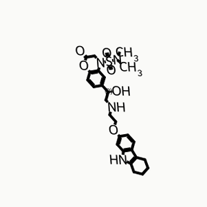 CN(C)S(=O)(=O)N1CC(=O)Oc2ccc([C@@H](O)CNCCOc3ccc4c5c([nH]c4c3)CCCC5)cc21